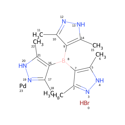 Br.Cc1n[nH]c(C)c1B(c1c(C)n[nH]c1C)c1c(C)n[nH]c1C.[Pd]